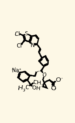 CC(C)(O)c1ccccc1CC[C@@H](OCC1(CC(=O)[O-])CC1)c1cccc(C=Cc2ccc3sc(Cl)c(Cl)c3n2)c1.[Na+]